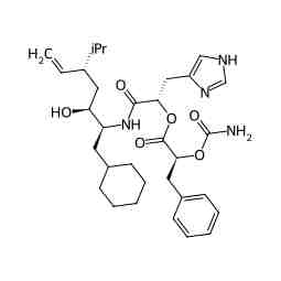 C=C[C@@H](C[C@H](O)[C@H](CC1CCCCC1)NC(=O)[C@H](Cc1c[nH]cn1)OC(=O)[C@H](Cc1ccccc1)OC(N)=O)C(C)C